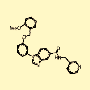 COc1ccccc1COc1cccc(-n2cnc3cc(C(=O)NCc4cccnc4)ccc32)c1